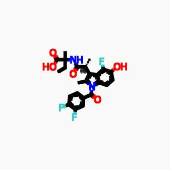 CCC(C)(NC(=O)[C@H](C)c1c(C)n(C(=O)c2ccc(F)c(F)c2)c2ccc(O)c(F)c12)C(=O)O